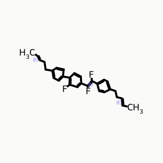 C/C=C/CCc1ccc(/C(F)=C(\F)c2ccc(-c3ccc(CC/C=C/C)cc3)c(F)c2)cc1